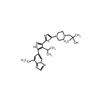 COc1cc(-c2[nH]nc(-c3ncc(N4CCN(CC(C)(C)O)CC4)s3)c2C(C)C)cn2ncnc12